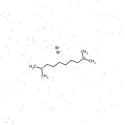 C[S+](C)CCCCCC[S+](C)C.[Br-].[Br-]